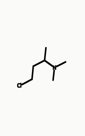 CC(CCCl)N(C)C